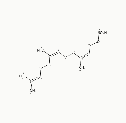 CC(C)=CCCC(C)=CCCC(C)=CCOS(=O)(=O)O